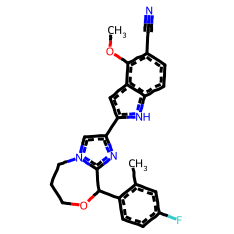 COc1c(C#N)ccc2[nH]c(-c3cn4c(n3)C(c3ccc(F)cc3C)OCCC4)cc12